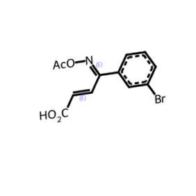 CC(=O)O/N=C(\C=C\C(=O)O)c1cccc(Br)c1